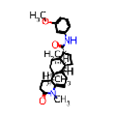 COc1cccc(NC(=O)[C@@H]2CC[C@H]3[C@@H]4CC=C5N(C)C(=O)CC[C@]5(C)[C@H]4CC[C@]23C)c1